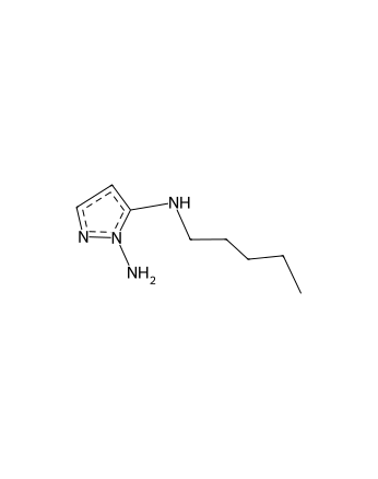 CCCCCNc1ccnn1N